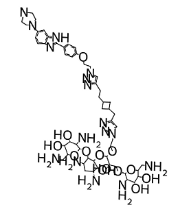 CN1CCN(c2ccc3nc(-c4ccc(OCCn5cc(CCC6CC(Cc7cn(CCOC(OC8C(O)[C@H](N)CC(N)[C@H]8O[C@@H]8OC(CN)[C@@H](O)C(O)C8N)C(O)CO[C@H]8OC(CN)[C@@H](O)C(O)C8N)nn7)C6)nn5)cc4)[nH]c3c2)CC1